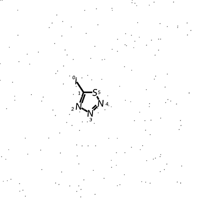 Ic1nnns1